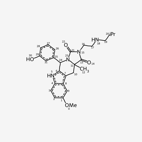 COc1ccc2[nH]c3c(c2c1)CC1(C)C(=O)N(CCNCC(C)C)C(=O)N1C3c1cccc(O)c1